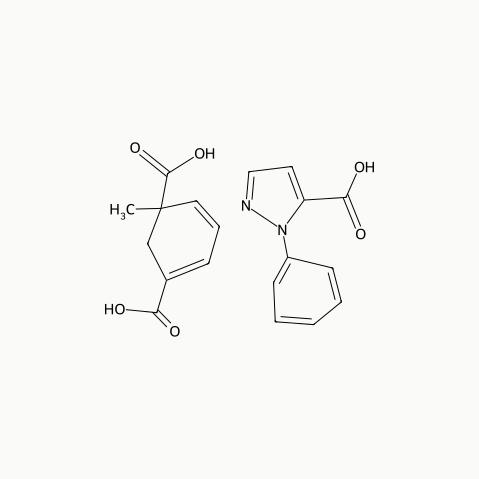 CC1(C(=O)O)C=CC=C(C(=O)O)C1.O=C(O)c1ccnn1-c1ccccc1